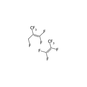 FC(F)=C(F)C(F)(F)F.FCC(=C(F)F)C(F)(F)F